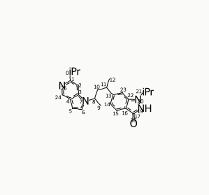 CC(C)c1cc2c(ccn2C(C)CC(C)c2ccc3c(=O)[nH]n(C(C)C)c3c2)cn1